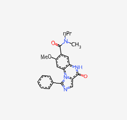 CCCN(C)C(=O)c1cc2[nH]c(=O)c3cnc(-c4ccccc4)n3c2cc1OC